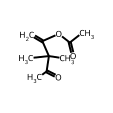 C=C(OC(C)=O)C(C)(C)C(C)=O